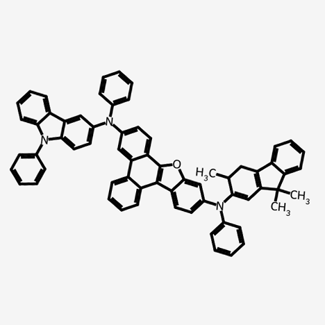 CC1CC2=C(C=C1N(c1ccccc1)c1ccc3c(c1)oc1c4ccc(N(c5ccccc5)c5ccc6c(c5)c5ccccc5n6-c5ccccc5)cc4c4ccccc4c31)C(C)(C)c1ccccc12